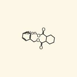 CCCCCCCCCOC(=O)C1CCCCC1C(=O)OCc1ccccc1